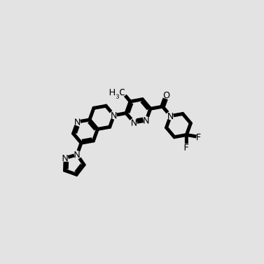 Cc1cc(C(=O)N2CCC(F)(F)CC2)nnc1N1CCc2ncc(-n3cccn3)cc2C1